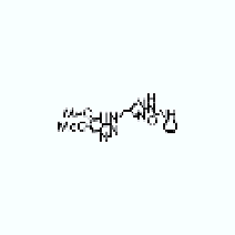 COc1cc2ncnc(NCCc3cnc(NC(=O)Nc4ccccc4)nc3)c2cc1OC